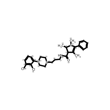 CC1=C(c2ccccc2)N(C)C(C)C1C(=O)NCCCN1CCN(c2cccc(Cl)c2Cl)CC1